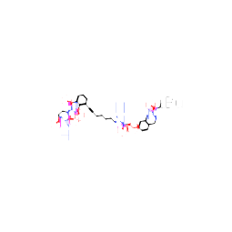 CC(C)(C)CC(=O)N1CCc2ccc(OCC(=O)NCCCCCC#Cc3cccc4c3C(=O)N(C3CCC(=O)NC3=O)C4=O)cc2C1